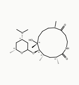 C[C@@H]1C[C@H](N(C)C)CC(O[C@@H]2[C@@H](C)C[C@@H](C)C(=O)NCCC(=O)N(C)CCC[C@@]2(C)O)O1